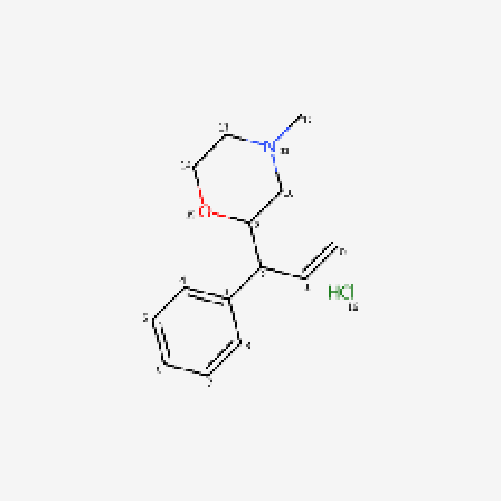 C=CC(c1ccccc1)C1CN(C)CCO1.Cl